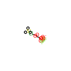 O=C(CCCOC(=O)C(C(F)(F)F)(C(F)(F)F)S(=O)(=O)[O-])OCCCl.c1ccc([S+](c2ccccc2)c2ccccc2)cc1